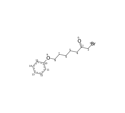 O=C(CBr)CCCCCOc1ccccc1